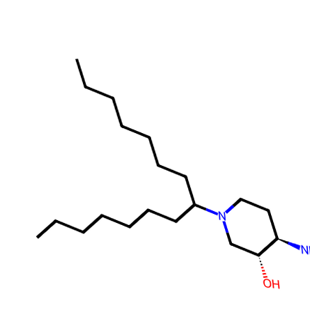 CCCCCCCC(CCCCCCC)N1CC[C@@H](N)[C@H](O)C1